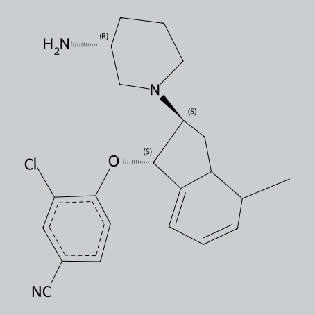 CC1C=CC=C2C1C[C@H](N1CCC[C@@H](N)C1)[C@H]2Oc1ccc(C#N)cc1Cl